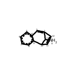 NC1C2=Cc3ccccc3C1C=C2